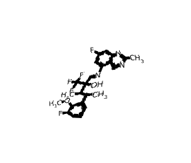 COc1c(F)cccc1C(C)C(C)C(O)(C=Nc1cc(F)cc2nc(C)ncc12)C(F)(F)F